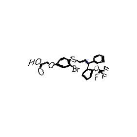 O=C(O)COc1ccc(SC/C=C(/c2ccccc2)c2ccccc2OC(F)(F)F)c(Br)c1